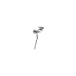 CCC=CCC=CCC=CCC=CCC=CCCCC(=O)NC(CCCCNC(=O)c1cccnc1)C(=O)OC